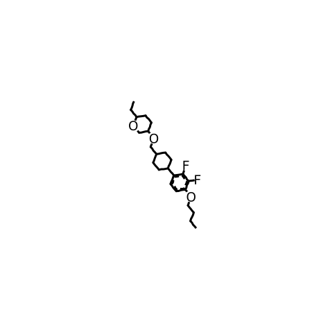 CCCCOc1ccc(C2CCC(COC3CCC(CC)OC3)CC2)c(F)c1F